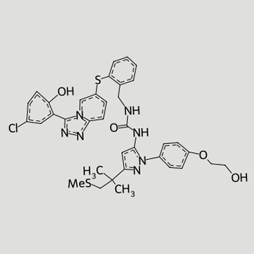 CSCC(C)(C)c1cc(NC(=O)NCc2ccccc2Sc2ccc3nnc(-c4cc(Cl)ccc4O)n3c2)n(-c2ccc(OCCO)cc2)n1